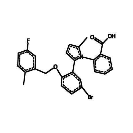 Cc1ccc(F)cc1COc1ccc(Br)cc1-c1ccc(C)n1-c1ccccc1C(=O)O